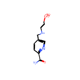 NC(=O)c1ccc(CNCCO)cn1